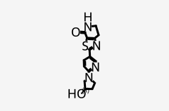 O=C1NCCc2nc(-c3ccc(N4CC[C@@H](O)C4)nc3)sc21